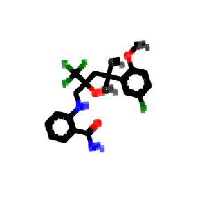 COc1ccc(F)cc1C(C)(C)CC(O)(CNc1ccccc1C(N)=O)C(F)(F)F